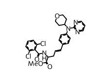 COC(=O)C(CC=Cc1ccc(N(c2ncccn2)C2CCOCC2)cc1)NC(=O)c1c(Cl)cccc1Cl